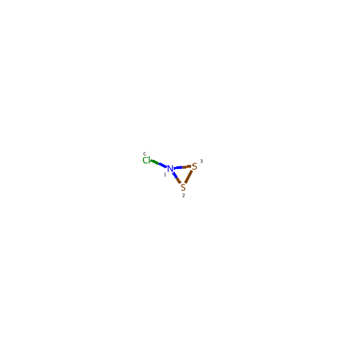 Cln1ss1